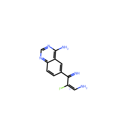 N=C(/C(F)=C\N)c1ccc2ncnc(N)c2c1